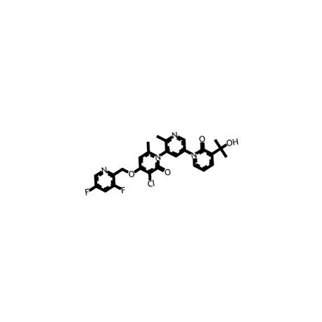 Cc1ncc(-n2cccc(C(C)(C)O)c2=O)cc1-n1c(C)cc(OCc2ncc(F)cc2F)c(Cl)c1=O